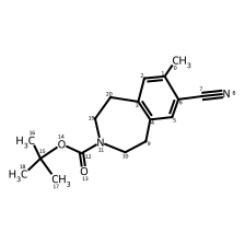 Cc1cc2c(cc1C#N)CCN(C(=O)OC(C)(C)C)CC2